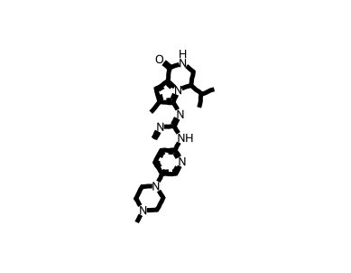 C=N/C(=N\c1c(C)cc2n1C(C(C)C)CNC2=O)Nc1ccc(N2CCN(C)CC2)cn1